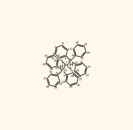 [I][Pt]([I])([PH](c1ccccc1)(c1ccccc1)c1ccccc1)[PH](c1ccccc1)(c1ccccc1)c1ccccc1